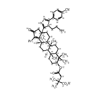 CC(C)C1=C2[C@H]3CC[C@@H]4[C@@]5(C)CC[C@H](OC(=O)CC(C)(C)C(=O)O)C(C)(C)C5CC[C@@]4(C)[C@]3(C)CC[C@@]2(c2nnc(-c3ncc(C#N)cn3)n2CCN)CC1=O